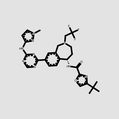 Cn1ccc(Nc2ncnc(-c3ccc4c(c3)CN(CC(F)(F)F)CC[C@@H]4NC(=O)c3nc(C(C)(C)C)co3)n2)n1